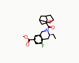 CC[C@H]1Cc2c(F)cc(C(=O)OC)cc2CN1C(=O)C12CC3CC(CC(C3)O1)C2